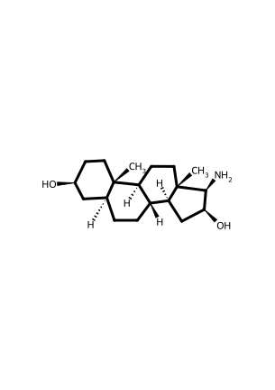 C[C@]12CC[C@H](O)C[C@@H]1CC[C@@H]1[C@@H]2CC[C@]2(C)[C@@H](N)[C@@H](O)C[C@@H]12